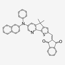 CC1(C)c2cc(N(c3ccccc3)c3ccc4ccccc4c3)cnc2-c2sc(C=C3C(=O)c4ccccc4C3=O)cc21